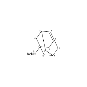 CC(=O)NC12CC3=CC(CC(C3)C1)C2